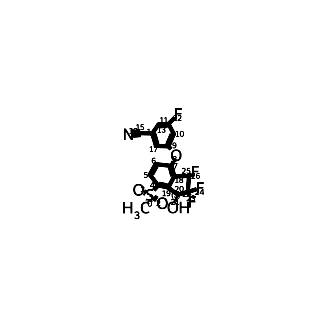 CS(=O)(=O)c1ccc(Oc2cc(F)cc(C#N)c2)c2c1[C@H](O)C(F)(F)C2F